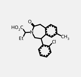 CCC(C(=O)O)N1CC(c2ccccc2Cl)c2cc(C)ccc2CC1=O